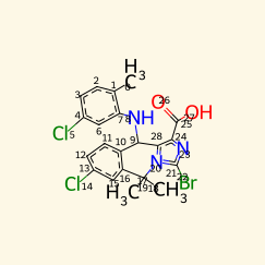 Cc1ccc(Cl)cc1NC1c2ccc(Cl)cc2C(C)(C)n2c(Br)nc(C(=O)O)c21